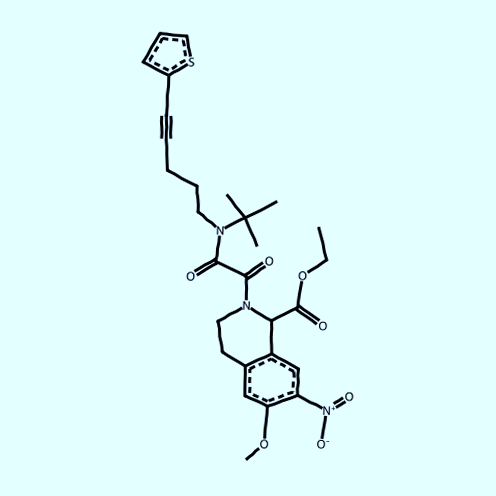 CCOC(=O)C1c2cc([N+](=O)[O-])c(OC)cc2CCN1C(=O)C(=O)N(CCCC#Cc1cccs1)C(C)(C)C